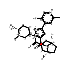 Cc1cc(-c2cc(C(=O)N3[C@@H]4CC[C@H]3CC(C(=O)N[C@@H]3CC[C@@H](C(F)(F)F)N(C)C3)C4)n[nH]2)c(F)cn1